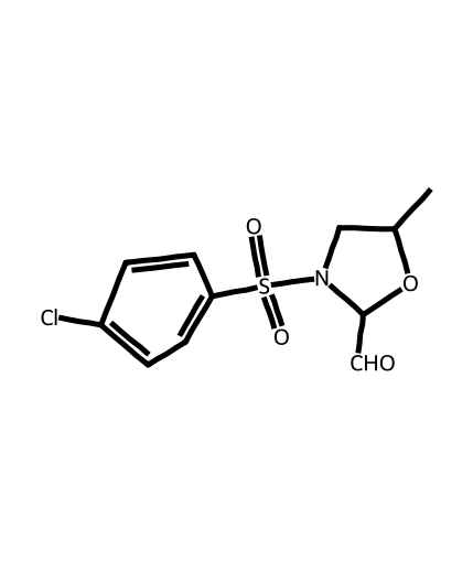 CC1CN(S(=O)(=O)c2ccc(Cl)cc2)C(C=O)O1